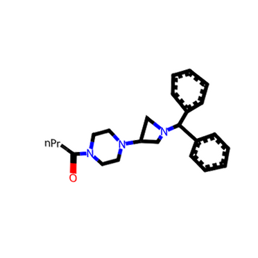 CCCC(=O)N1CCN(C2CN(C(c3ccccc3)c3ccccc3)C2)CC1